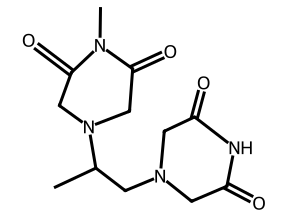 CC(CN1CC(=O)NC(=O)C1)N1CC(=O)N(C)C(=O)C1